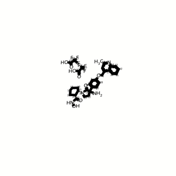 Cc1cc(COc2ccc(C3(N)CCN([C@H]4CCCC[C@@H]4C(=O)NO)C3=O)cc2)c2ccccc2n1.O=C(O)C(F)(F)F.O=C(O)C(F)(F)F